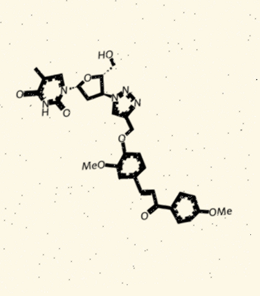 COc1ccc(C(=O)/C=C/c2ccc(OCc3cn([C@H]4C[C@H](n5cc(C)c(=O)[nH]c5=O)O[C@@H]4CO)nn3)c(OC)c2)cc1